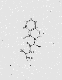 CCC(NC(=O)[C@H](C)N1CCc2ccccc2C1=O)C(=O)O